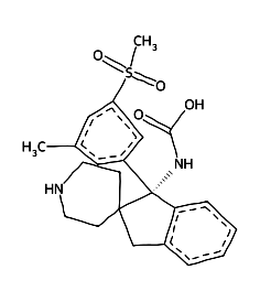 Cc1cc([C@@]2(NC(=O)O)c3ccccc3CC23CCNCC3)cc(S(C)(=O)=O)c1